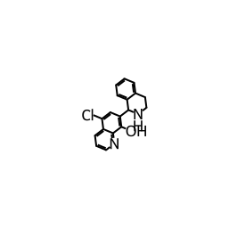 Oc1c(C2NCCc3ccccc32)cc(Cl)c2cccnc12